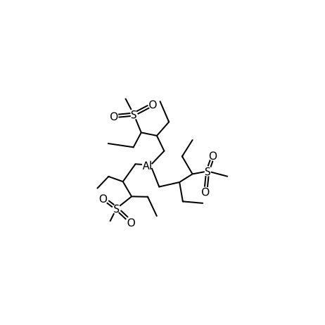 CCC([CH2][Al]([CH2]C(CC)C(CC)S(C)(=O)=O)[CH2]C(CC)C(CC)S(C)(=O)=O)C(CC)S(C)(=O)=O